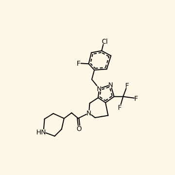 O=C(CC1CCNCC1)N1CCc2c(C(F)(F)F)nn(Cc3ccc(Cl)cc3F)c2C1